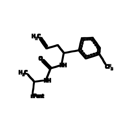 C=CCC(NC(=O)NC(C)CCCCC)c1cccc(C(F)(F)F)c1